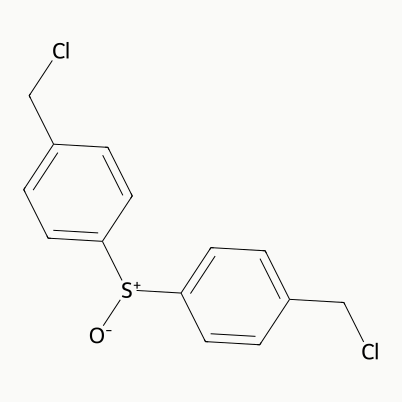 [O-][S+](c1ccc(CCl)cc1)c1ccc(CCl)cc1